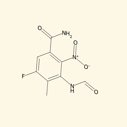 Cc1c(F)cc(C(N)=O)c([N+](=O)[O-])c1NC=O